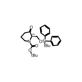 CC(C)(C)OC(=O)N1CCCC(=O)[C@H]1CO[Si](c1ccccc1)(c1ccccc1)C(C)(C)C